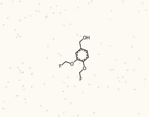 OCc1ccc(OCF)c(OCF)c1